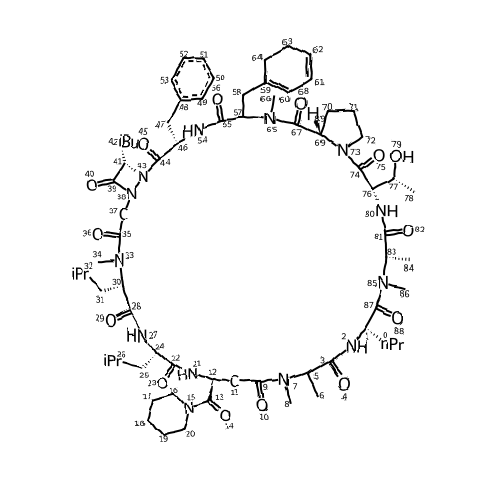 CCC[C@@H]1NC(=O)C(C)N(C)C(=O)C[C@@H](C(=O)N2CCCCC2)NC(=O)[C@H](CC(C)C)NC(=O)[C@H](CC(C)C)N(C)C(=O)CN2C(=O)[C@H]([C@@H](C)CC)N2C(=O)[C@H](Cc2ccccc2)NC(=O)C(CC2=CC=CCC2)N(C)C(=O)[C@@H]2CCCN2C(=O)[C@H]([C@@H](C)O)NC(=O)[C@H](C)N(C)C1=O